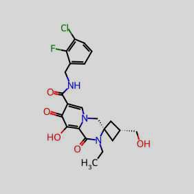 CCN1C(=O)c2c(O)c(=O)c(C(=O)NCc3cccc(Cl)c3F)cn2C[C@]12C[C@@H](CO)C2